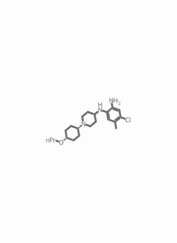 CCCO[C@H]1CC[C@@H](N2CCC(Nc3cc(C)c(Cl)cc3N)CC2)CC1